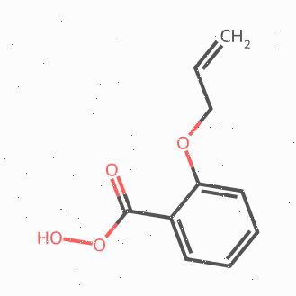 C=CCOc1ccccc1C(=O)OO